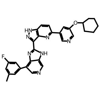 Cc1cc(F)cc(-c2cncc3[nH]c(-c4n[nH]c5ccc(-c6cncc(OC7CCCCC7)c6)nc45)nc23)c1